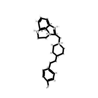 Fc1ccc(CCC2CCN(Cc3nc4cccc5c4n3CCO5)CC2)cc1